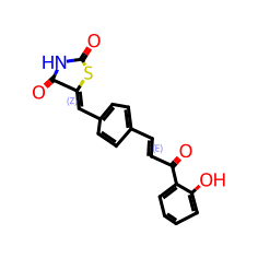 O=C1NC(=O)/C(=C/c2ccc(/C=C/C(=O)c3ccccc3O)cc2)S1